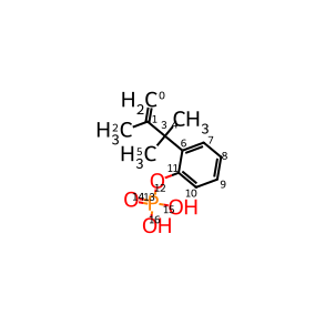 C=C(C)C(C)(C)c1ccccc1OP(=O)(O)O